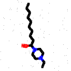 CCCCCCCCCC(O)N1CCN(CC)CC1